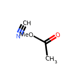 C#N.COC(C)=O